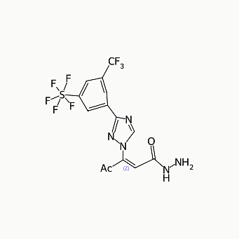 CC(=O)/C(=C/C(=O)NN)n1cnc(-c2cc(C(F)(F)F)cc(S(F)(F)(F)(F)F)c2)n1